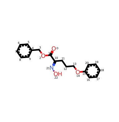 O=C(OCc1ccccc1)C(CCCOc1ccccc1)=NO